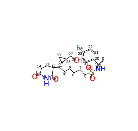 C[C@@H](NS(=O)(=O)CCCCCCC1CCC(=O)NC1=O)c1ccc(F)c(OCC2CC2)c1